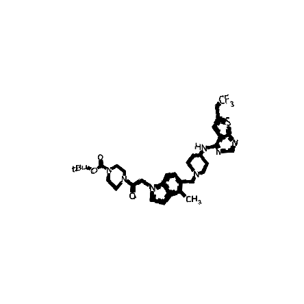 Cc1c(CN2CCC(Nc3ncnc4sc(CC(F)(F)F)cc34)CC2)ccc2c1ccn2CC(=O)N1CCN(C(=O)OC(C)(C)C)CC1